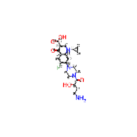 NCCC(O)C(=O)N1CCN(c2cc3c(cc2F)c(=O)c(C(=O)O)cn3C2CC2)CC1